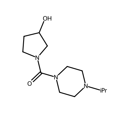 CC(C)N1CCN(C(=O)N2CCC(O)C2)CC1